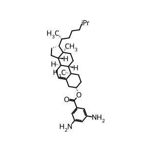 CC(C)CCC[C@@H](C)[C@H]1CC[C@H]2[C@@H]3CC=C4C[C@@H](OC(=O)c5cc(N)cc(N)c5)CC[C@]4(C)[C@H]3CC[C@]12C